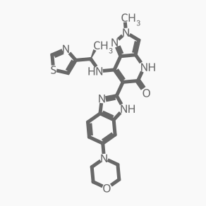 C[C@@H](Nc1c(-c2nc3ccc(N4CCOCC4)cc3[nH]2)c(=O)[nH]c2cn(C)nc12)c1cscn1